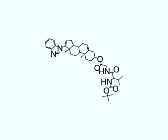 CC(C)C(NC(=O)OC(C)(C)C)C(=O)NCC(=O)O[C@H]1CC[C@@]2(C)C(=CCC3C2CC[C@]2(C)C(n4cnc5ccccc54)=CCC32)C1